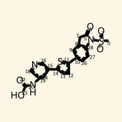 CS(=O)(=O)N1C(=O)Cc2cc(-c3ccc(-c4cncc(NC(=O)O)c4)s3)ccc21